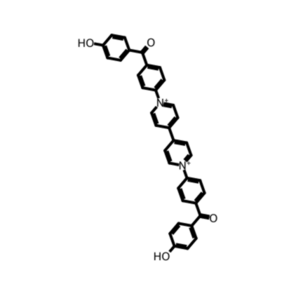 O=C(c1ccc(O)cc1)c1ccc(-[n+]2ccc(-c3cc[n+](-c4ccc(C(=O)c5ccc(O)cc5)cc4)cc3)cc2)cc1